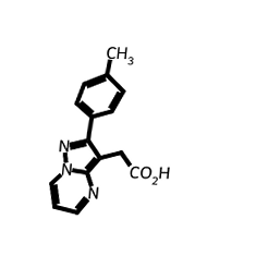 Cc1ccc(-c2nn3cccnc3c2CC(=O)O)cc1